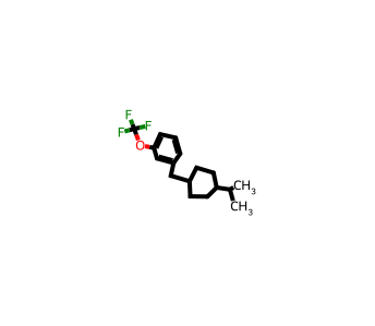 CC(C)C1CCC(Cc2cccc(OC(F)(F)F)c2)CC1